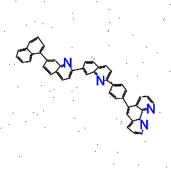 c1ccc2c(-c3ccc4ccc(-c5ccc6ccc(-c7ccc(-c8cc9cccnc9c9ncccc89)cc7)nc6c5)nc4c3)cccc2c1